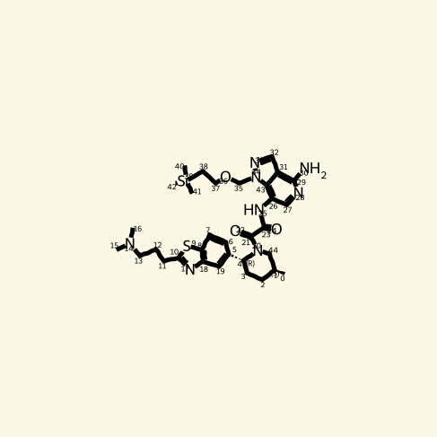 C[C@H]1CC[C@H](c2ccc3sc(CCCN(C)C)nc3c2)N(C(=O)C(=O)Nc2cnc(N)c3cnn(COCC[Si](C)(C)C)c23)C1